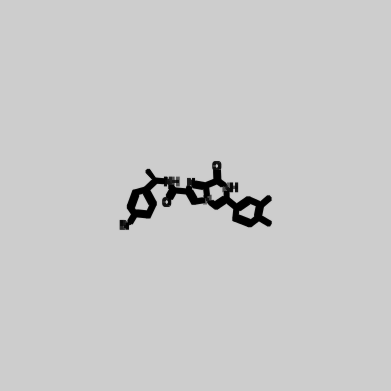 Cc1ccc(-c2cn3cc(C(=O)N[C@H](C)c4ccc(Br)cc4)nc3c(=O)[nH]2)cc1C